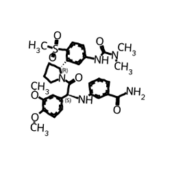 COc1ccc([C@H](Nc2cccc(C(N)=O)c2)C(=O)N2CCC[C@@H]2c2cc(NC(=O)N(C)C)ccc2S(C)(=O)=O)cc1OC